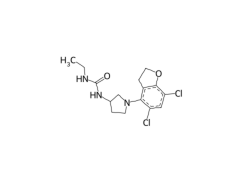 CCNC(=O)NC1CCN(c2c(Cl)cc(Cl)c3c2CCO3)C1